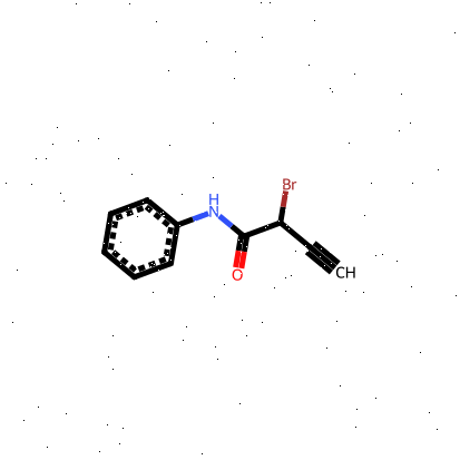 C#CC(Br)C(=O)Nc1ccccc1